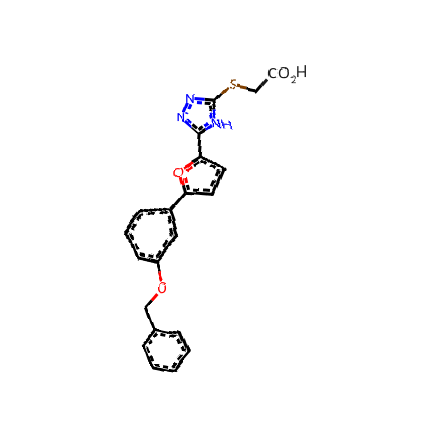 O=C(O)CSc1nnc(-c2ccc(-c3cccc(OCc4ccccc4)c3)o2)[nH]1